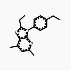 [CH2]Cc1ccc(-n2c(CC)nc3c(C)cc(C)nc32)cc1